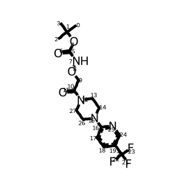 CC(C)(C)OC(=O)NOCC(=O)N1CCN(c2ccc(C(F)(F)F)cn2)CC1